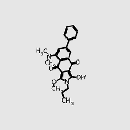 CCCn1c(O)c2c(c1OC)C(=O)c1c(cc(-c3ccccc3)cc1N(C)C)C2=O